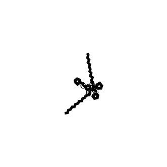 [CH2]CC(c1ccc(OCc2ccccc2)cc1)(N(OCCCCCCCCCCCCCC)c1ccccc1)N(OCCCCCCCCCCCCCC)c1ccccc1